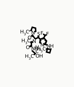 C/C(=N\C(C(=O)N1CCC[C@@H]1C)C(=S)c1cnc(NC2(C)CCC2)cc1C(F)F)C(=O)NCC(C)(C)O